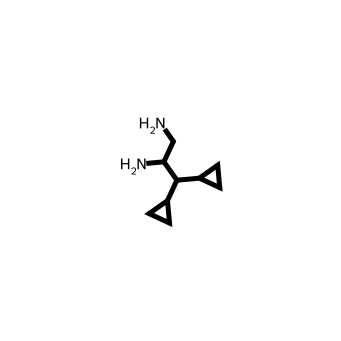 NCC(N)C(C1CC1)C1CC1